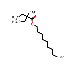 CCCCCCCCCCCCCCCCCCOC(=O)C(CC(=O)O)(CC(=O)O)S(=O)(=O)O